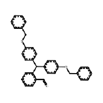 O=Cc1ccccc1C(c1ccc(OCc2ccccc2)cc1)c1ccc(OCc2ccccc2)cc1